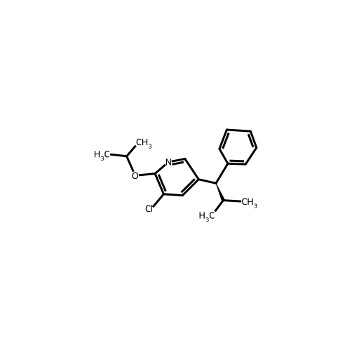 CC(C)Oc1ncc([C@@H](c2ccccc2)C(C)C)cc1Cl